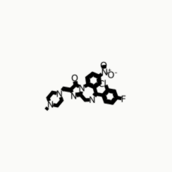 CN1CCN(/C=C2\N=C3CN=C(c4ccc(F)cc4Cl)c4cc([N+](=O)[O-])ccc4N3C2=O)CC1